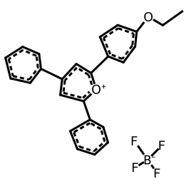 CCOc1ccc(-c2cc(-c3ccccc3)cc(-c3ccccc3)[o+]2)cc1.F[B-](F)(F)F